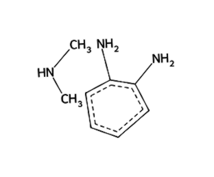 CNC.Nc1ccccc1N